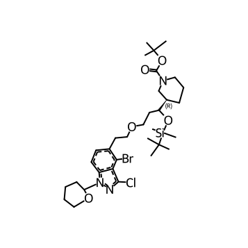 CC(C)(C)OC(=O)N1CCC[C@@H](C(CCOCCc2ccc3c(c(Cl)nn3C3CCCCO3)c2Br)O[Si](C)(C)C(C)(C)C)C1